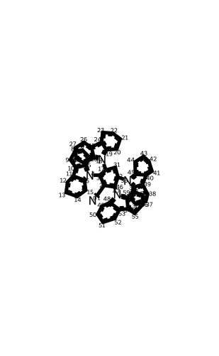 N#Cc1c(-n2c3ccccc3c3ccccc32)c(-n2c3ccccc3c3ccccc32)cc(-n2c3ccccc3c3ccccc32)c1-n1c2ccccc2c2ccccc21